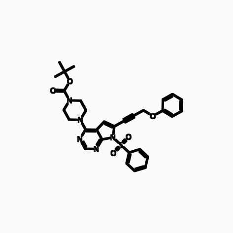 CC(C)(C)OC(=O)N1CCN(c2ncnc3c2cc(C#CCOc2ccccc2)n3S(=O)(=O)c2ccccc2)CC1